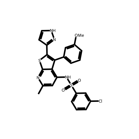 COc1cccc(-c2c(-c3cc[nH]n3)sc3nc(C)cc(NS(=O)(=O)c4cccc(Cl)c4)c23)c1